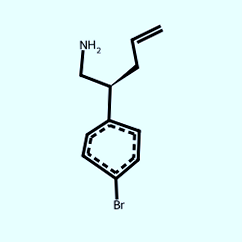 C=CC[C@H](CN)c1ccc(Br)cc1